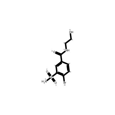 NS(=O)(=O)c1cc(C(=O)NCCO)ccc1Br